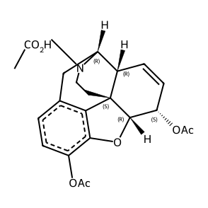 CC(=O)O.CC(=O)Oc1ccc2c3c1O[C@H]1[C@@H](OC(C)=O)C=C[C@H]4[C@@H](C2)N(C)CC[C@@]341